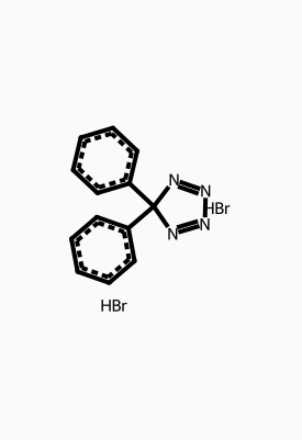 Br.Br.c1ccc(C2(c3ccccc3)N=NN=N2)cc1